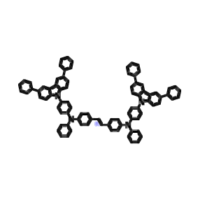 C(=C\c1ccc(N(c2ccccc2)c2ccc(-n3c4ccc(-c5ccccc5)cc4c4cc(-c5ccccc5)ccc43)cc2)cc1)/c1ccc(N(c2ccccc2)c2ccc(-n3c4ccc(-c5ccccc5)cc4c4cc(-c5ccccc5)ccc43)cc2)cc1